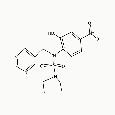 CCN(CC)S(=O)(=O)N(Cc1cncnc1)c1ccc([N+](=O)[O-])cc1O